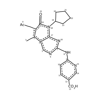 CC(=O)c1c(C)c2cnc(Nc3ccc(C(=O)O)cn3)nc2n(C2CCCC2)c1=O